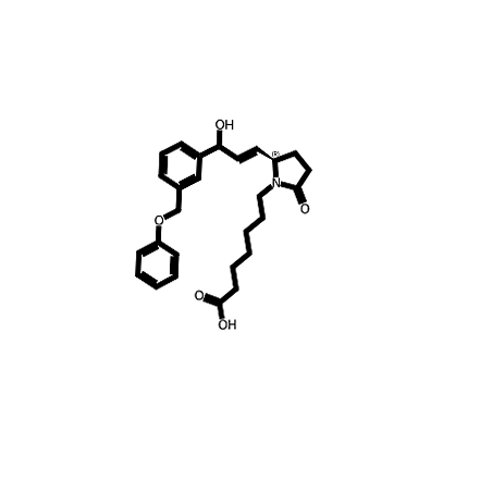 O=C(O)CCCCCCN1C(=O)CC[C@@H]1C=CC(O)c1cccc(COc2ccccc2)c1